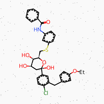 CCOc1ccc(Cc2cc([C@]3(O)C[C@@H](O)[C@@H](O)[C@@H](CSc4cccc(NC(=O)c5ccccc5)c4)O3)ccc2Cl)cc1